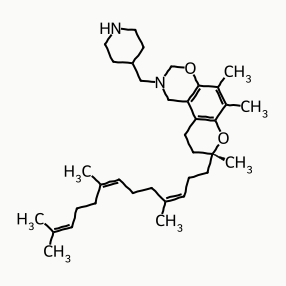 CC(C)=CCCC(C)=CCCC(C)=CCC[C@]1(C)CCc2c3c(c(C)c(C)c2O1)OCN(CC1CCNCC1)C3